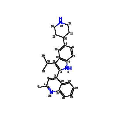 Cc1cc(-c2[nH]c3ccc(C4CCNCC4)cc3c2C(C)C)c2ccccc2n1